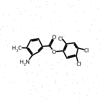 Cc1ccc(C(=O)Oc2cc(Cl)c(Cl)cc2Cl)cc1N